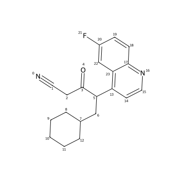 N#CCC(=O)C(CC1CCCCC1)c1ccnc2ccc(F)cc12